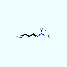 CCCC=NN(C)C